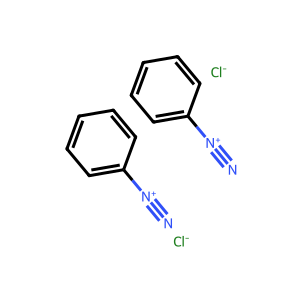 N#[N+]c1ccccc1.N#[N+]c1ccccc1.[Cl-].[Cl-]